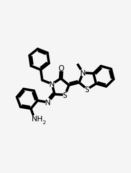 CN1C(=C2SC(=Nc3ccccc3N)N(Cc3ccccc3)C2=O)Sc2ccccc21